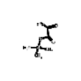 CCCC(=O)C(=O)O[N+](C)(C)C